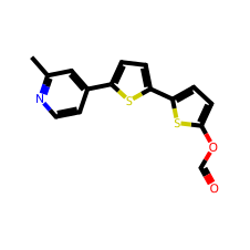 Cc1cc(-c2ccc(-c3ccc(OC=O)s3)s2)ccn1